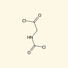 O=C(Cl)CNC(=O)Cl